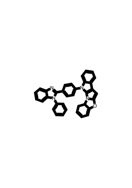 C1=CCC2C(=C1)Oc1cc3c4ccccc4n(-c4ccc(-c5nc6ccccc6n5-c5ccccc5)cc4)c3n12